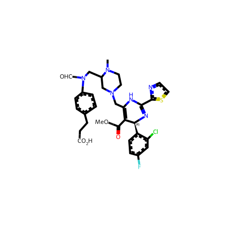 COC(=O)C1=C(CN2CCN(C)C(CN(C=O)c3ccc(CCC(=O)O)cc3)C2)NC(c2nccs2)=N[C@H]1c1ccc(F)cc1Cl